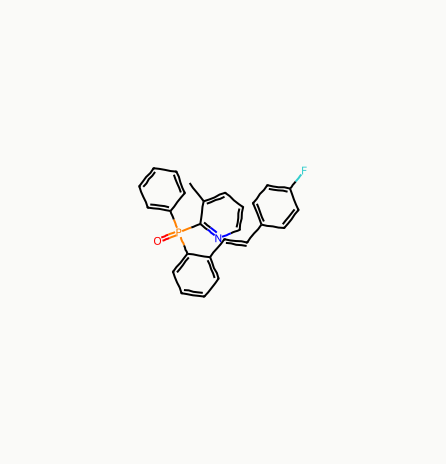 Cc1cccnc1P(=O)(c1ccccc1)c1ccccc1C=Cc1ccc(F)cc1